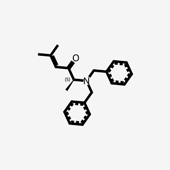 CC(C)=CC(=O)[C@H](C)N(Cc1ccccc1)Cc1ccccc1